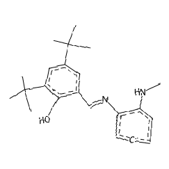 CNc1ccccc1N=Cc1cc(C(C)(C)C)cc(C(C)(C)C)c1O